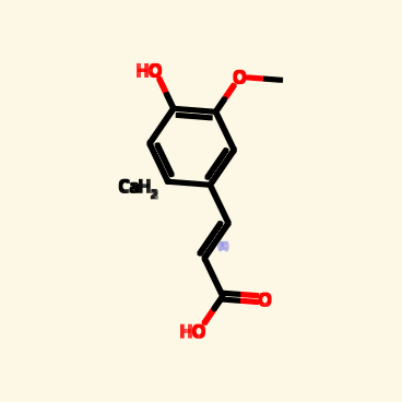 COc1cc(/C=C/C(=O)O)ccc1O.[CaH2]